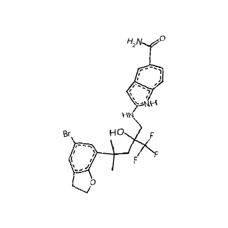 CC(C)(CC(O)(CNc1cc2cc(C(N)=O)ccc2[nH]1)C(F)(F)F)c1cc(Br)cc2c1OCC2